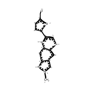 Cn1cc2cc3ncc(-c4ccc(Cl)s4)nc3cc2n1